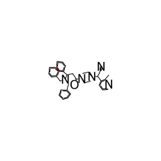 Cc1ncccc1C(C#N)N1CCN(C(=O)CC(c2ccccc2)N(Cc2ccccc2)Cc2ccccc2)CC1